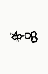 c1ccc2c(c1)CCCC21CCN(C2C[C@@H]3CC[C@@H]4CC43C2)CC1